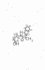 CC(C(=O)NC1C2CC3CC1CC(O)(C3)C2)N1Cc2ccccc2C1